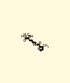 CN[C@@H](CCCCNC(=O)[C@@H]1N=CC[C@H]1C)C(=O)O